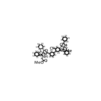 COC(=O)CNC(=O)[C@@]1(Cc2ccccc2)N=C(c2cccc(-c3ccc([C@@H]4OC(c5ccccc5)=N[C@]4(Cc4ccccc4)C(=O)OC)cc3Cl)c2)O[C@H]1C1C=CC=CC1